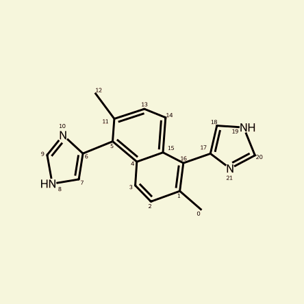 Cc1ccc2c(-c3c[nH]cn3)c(C)ccc2c1-c1c[nH]cn1